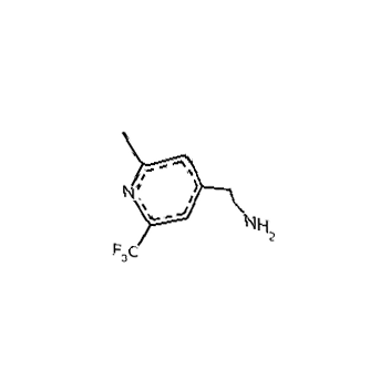 Cc1cc(CN)cc(C(F)(F)F)n1